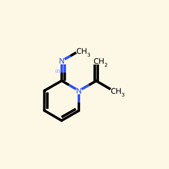 C=C(C)n1cccc/c1=N/C